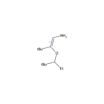 CCC(O/C(=C\N)C(C)(C)C)C(C)(C)C